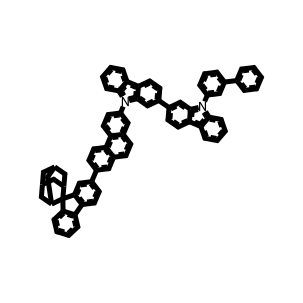 c1ccc(-c2cccc(-n3c4ccccc4c4ccc(-c5ccc6c7ccccc7n(-c7ccc8c(ccc9cc(-c%10ccc%11c(c%10)C%10(c%12ccccc%12-%11)C%11CC%12CC(C%11)CC%10C%12)ccc98)c7)c6c5)cc43)c2)cc1